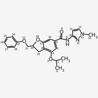 CC(C)Oc1cc(C(=O)Nc2ccn(C)n2)cc2c1CC(COc1ccccc1)O2